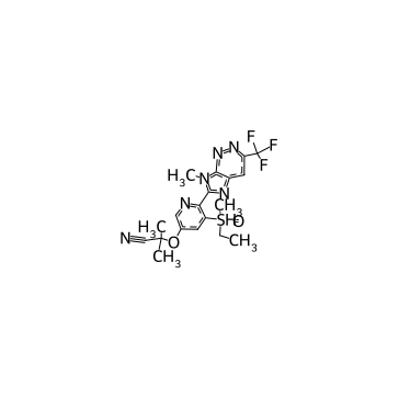 CC[SH](C)(=O)c1cc(OC(C)(C)C#N)cnc1-c1nc2cc(C(F)(F)F)nnc2n1C